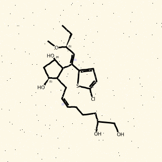 CC[C@@H](/C=C(/c1ccc(Cl)s1)C1C(C/C=C\CCCC(O)CO)[C@@H](O)C[C@H]1O)OC